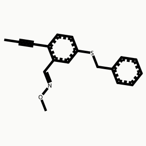 CC#Cc1ccc(SCc2ccccc2)cc1C=NOC